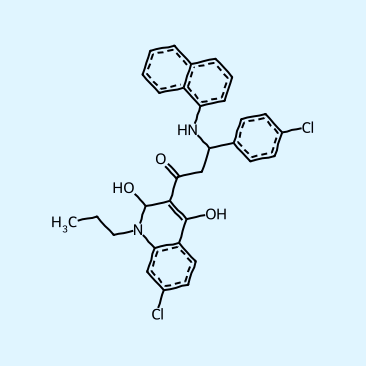 CCCN1c2cc(Cl)ccc2C(O)=C(C(=O)CC(Nc2cccc3ccccc23)c2ccc(Cl)cc2)C1O